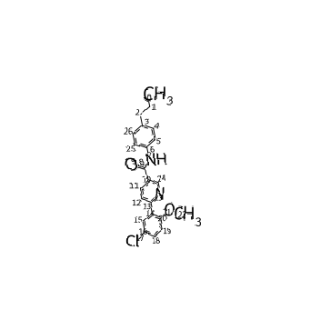 CCCc1ccc(NC(=O)c2ccc(-c3cc(Cl)ccc3OC)nc2)cc1